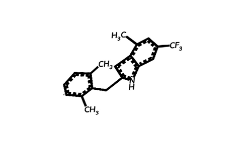 Cc1[c]ccc(C)c1Cc1cc2c(C)cc(C(F)(F)F)cc2[nH]1